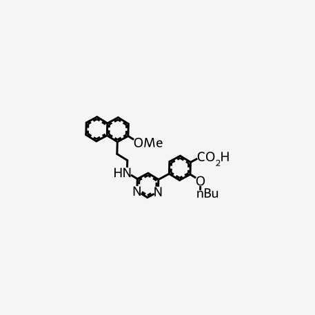 CCCCOc1cc(-c2cc(NCCc3c(OC)ccc4ccccc34)ncn2)ccc1C(=O)O